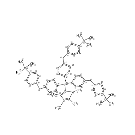 CC1=C(C)C(C)C([Si](c2ccc(Cc3ccc(C(C)(C)C)cc3)cc2)(c2ccc(Cc3ccc(C(C)(C)C)cc3)cc2)c2ccc(Cc3ccc(C(C)(C)C)cc3)cc2)=C1C